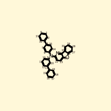 c1ccc(-c2ccc(N(c3cccc(-c4ccccc4)c3)c3ccc4oc5ccccc5c4n3)cc2)cc1